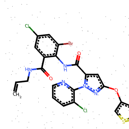 C=CCNC(=O)c1cc(Cl)cc(Br)c1NC(=O)c1cc(Oc2ccsc2)nn1-c1ncccc1Cl